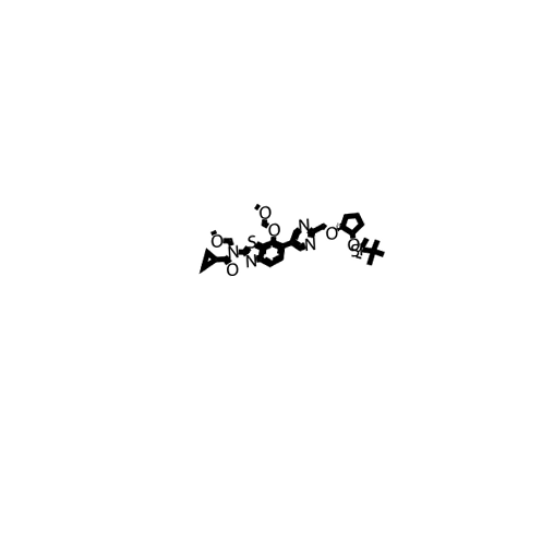 COCOc1c(-c2cnc(CO[C@H]3CCCC3O[Si](C)(C)C(C)(C)C)nc2)ccc2nc(N(COC)C(=O)C3CC3)sc12